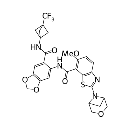 COc1ccc2nc(N3C4COCC3C4)sc2c1C(=O)Nc1cc2c(cc1C(=O)NC13CC(C(F)(F)F)(C1)C3)OCO2